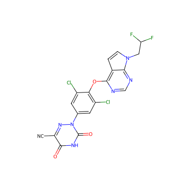 N#Cc1nn(-c2cc(Cl)c(Oc3ncnc4c3ccn4CC(F)F)c(Cl)c2)c(=O)[nH]c1=O